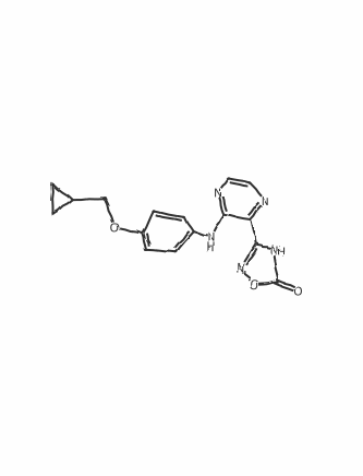 O=c1[nH]c(-c2nccnc2Nc2ccc(OCC3CC3)cc2)no1